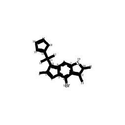 CC1=Cc2c(Br)c3c(cc2=C1C(C)(C)C1=CC=CC1)SC(C)C=3C